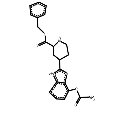 NC(=O)Oc1cccc2[nH]c(C3CCNC(C(=O)OCc4ccccc4)C3)nc12